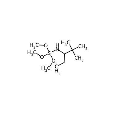 CCC(N[Si](OC)(OC)OC)C(C)(C)C